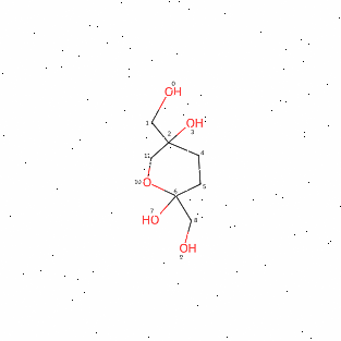 OCC1(O)CCC(O)(CO)OC1